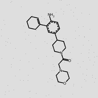 Nc1ccc(C2CCN(C(=O)CN3CCOCC3)CC2)cc1C1=CCCCC1